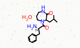 CC(C)CC1C(=O)NCCCN1C(=O)[C@@H](N)Cc1ccccc1.O